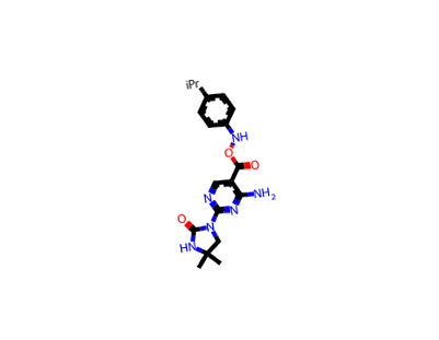 CC(C)c1ccc(NOC(=O)c2cnc(N3CC(C)(C)NC3=O)nc2N)cc1